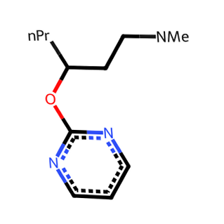 CCCC(CCNC)Oc1ncccn1